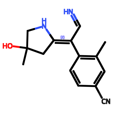 Cc1cc(C#N)ccc1/C(C=N)=C1\CC(C)(O)CN1